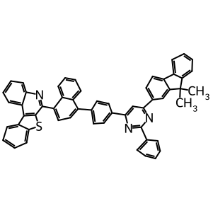 CC1(C)c2ccccc2-c2ccc(-c3cc(-c4ccc(-c5ccc(-c6nc7ccccc7c7c6sc6ccccc67)c6ccccc56)cc4)nc(-c4ccccc4)n3)cc21